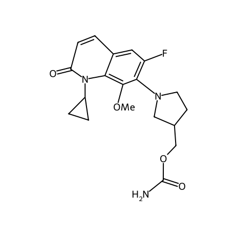 COc1c(N2CCC(COC(N)=O)C2)c(F)cc2ccc(=O)n(C3CC3)c12